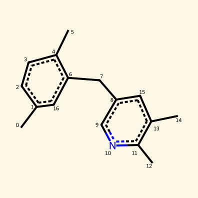 Cc1ccc(C)c(Cc2cnc(C)c(C)c2)c1